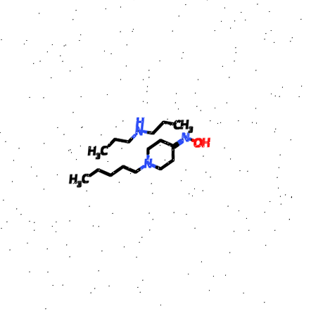 CCCCCN1CCC(=NO)CC1.CCCNCCC